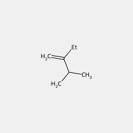 [CH2]C(C)C(=C)CC